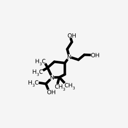 CC(O)N1C(C)(C)CC(N(CCO)CCO)CC1(C)C